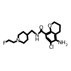 Nc1c(Cl)cc(C(=O)NCC2CCN(CCF)CC2)c2c1CCCO2